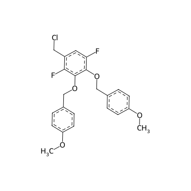 COc1ccc(COc2c(F)cc(CCl)c(F)c2OCc2ccc(OC)cc2)cc1